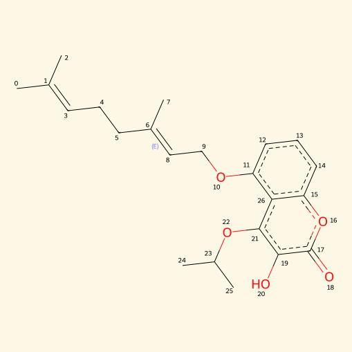 CC(C)=CCC/C(C)=C/COc1cccc2oc(=O)c(O)c(OC(C)C)c12